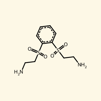 NCCS(=O)(=O)c1ccccc1S(=O)(=O)CCN